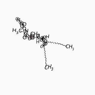 CCCCCCCCCCCCCCCCCC(=O)OC[C@H](COP(=O)(O)OCCNC(=O)CCC(=O)O[C@]1(CC)C(=O)OCc2c1cc1n(c2=O)Cc2c-1nc1ccc(OC(=O)N3CCC(N4CCCCC4)CC3)cc1c2CC)OC(=O)CCCCCCCCCCCCCCCCC